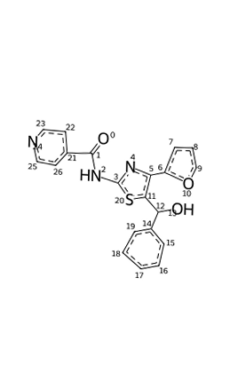 O=C(Nc1nc(-c2ccco2)c(C(O)c2ccccc2)s1)c1ccncc1